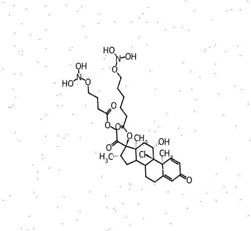 C[C@H]1CC2C3CCC4=CC(=O)C=C[C@]4(C)[C@@]3(Cl)[C@@H](O)C[C@]2(C)[C@@]1(OC(=O)CCCCCON(O)O)C(=O)COC(=O)CCCON(O)O